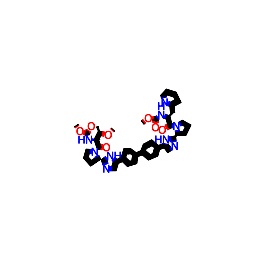 COC(=O)N[C@@H](Cc1ccccn1)C(=O)N1CCC[C@H]1c1ncc(-c2ccc(-c3ccc(-c4cnc([C@@H]5CCCN5C(=O)[C@@H](NC(=O)OC)[C@@H](C)OC)[nH]4)cc3)cc2)[nH]1